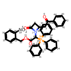 O=C(CC1CC(=O)N1C(C(=O)OCc1ccccc1[N+](=O)[O-])[PH](c1ccccc1)(c1ccccc1)c1ccccc1)c1ccccc1